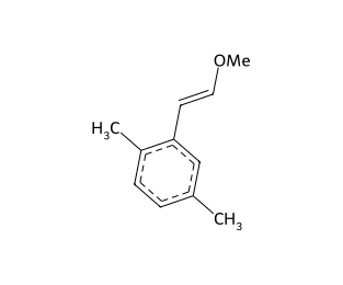 COC=Cc1cc(C)ccc1C